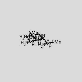 CNCCNCCN(CCN)CCNCCN(CCNCCN(C)CCN)CCNCCN(CCNCCN(CCN)CCN)CCNCCN(CCNC)CCNCCN